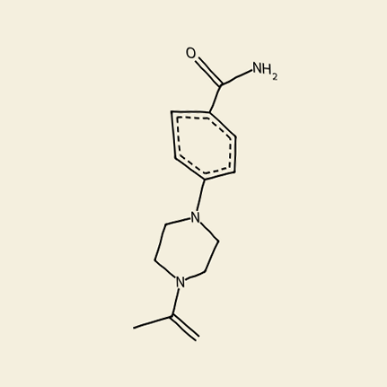 C=C(C)N1CCN(c2ccc(C(N)=O)cc2)CC1